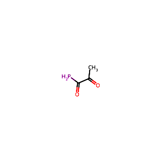 CC(=O)C(=O)P